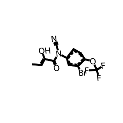 CC=C(O)C(=O)N(C#N)c1ccc(OC(F)(F)F)c(Br)c1